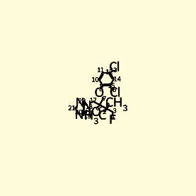 CC(C)(CF)C(O)(COc1ccc(Cl)cc1Cl)Cn1cncn1